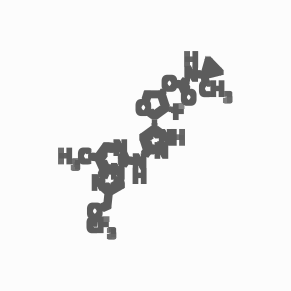 Cc1cnc(Nc2cc([C@@H]3OC[C@H](OC(=O)NC4(C)CC4)[C@@H]3F)[nH]n2)n2cc(COC(F)(F)F)nc12